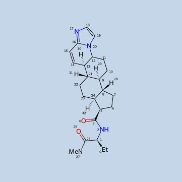 CC[C@H](NC(=O)[C@@H]1CC[C@H]2[C@@H]3CCC4[C@H](C=Cc5nccn54)[C@H]3CC[C@@H]21)C(=O)NC